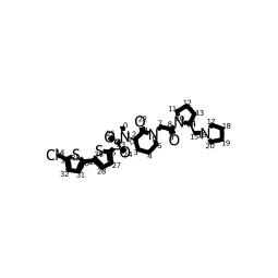 CN([C@H]1CCCN(CC(=O)N2CCC[C@H]2CN2CCCC2)C1=O)S(=O)(=O)c1ccc(-c2ccc(Cl)s2)s1